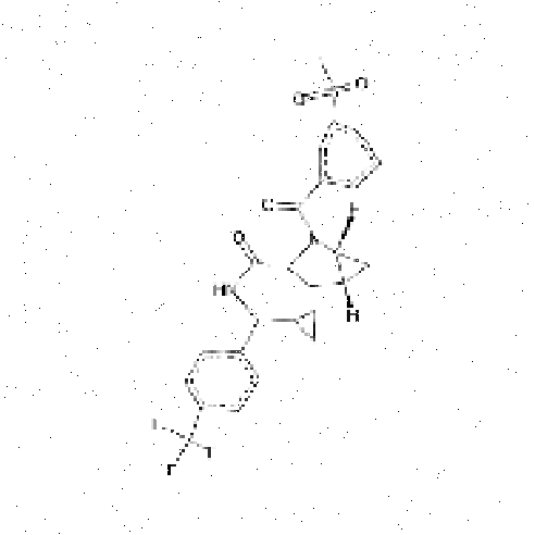 CS(=O)(=O)c1cccc(C(=O)N2[C@@H](C(=O)NC(c3ccc(C(F)(F)F)cc3)C3CC3)C[C@H]3C[C@H]32)c1